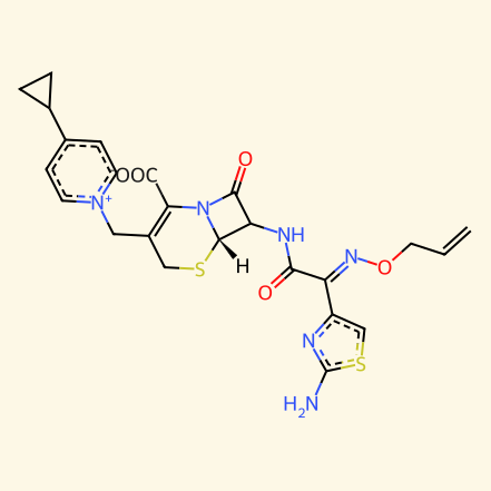 C=CCON=C(C(=O)NC1C(=O)N2C(C(=O)[O-])=C(C[n+]3ccc(C4CC4)cc3)CS[C@@H]12)c1csc(N)n1